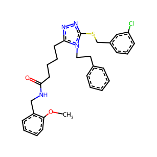 COc1ccccc1CNC(=O)CCCCc1nnc(SCc2cccc(Cl)c2)n1CCc1ccccc1